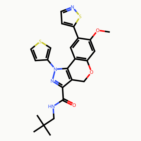 COc1cc2c(cc1-c1ccns1)-c1c(c(C(=O)NCC(C)(C)C)nn1-c1ccsc1)CO2